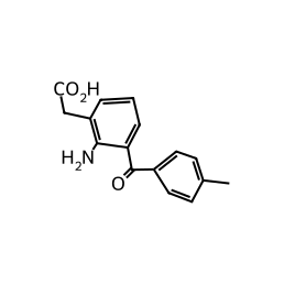 Cc1ccc(C(=O)c2cccc(CC(=O)O)c2N)cc1